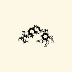 COc1cc(Nc2cnc3ccc(NC(=O)N(C)S)nc3n2)cc(OC)c1OC